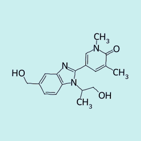 Cc1cc(-c2nc3cc(CO)ccc3n2C(C)CO)cn(C)c1=O